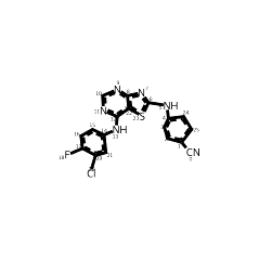 N#Cc1ccc(Nc2nc3ncnc(Nc4ccc(F)c(Cl)c4)c3s2)cc1